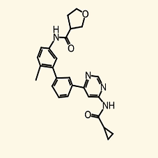 Cc1ccc(NC(=O)C2CCOC2)cc1-c1cccc(-c2cc(NC(=O)C3CC3)ncn2)c1